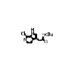 CC(C)(C)OC(=O)Cc1c[nH]c2c(Cl)nccc12